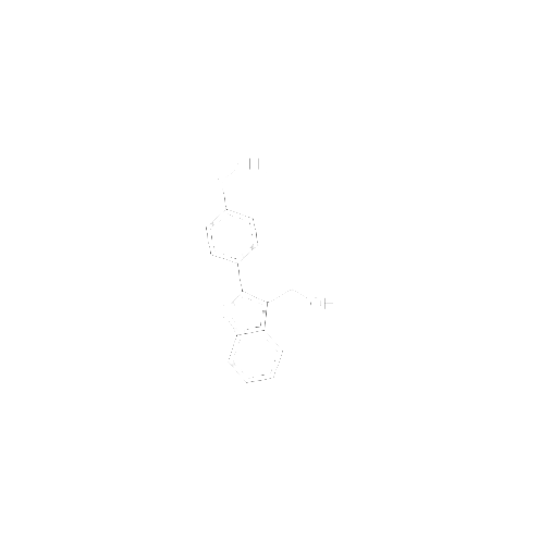 CSc1ccc(-c2oc3ccccc3c2CO)cc1